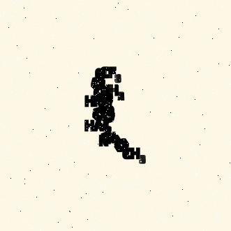 Cc1ccc(Cn2cncc2C[AsH]C2CCOc3c(C(=O)NC(Cc4ccc(OC(F)(F)F)cc4)C(N)=O)cccc32)cc1